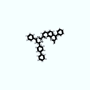 Cc1cc(-c2ccccc2)c2ccc3ccc(-c4nc(-c5ccccc5)cc(-c5ccc(-c6ccccc6)cc5)n4)nc3c2n1